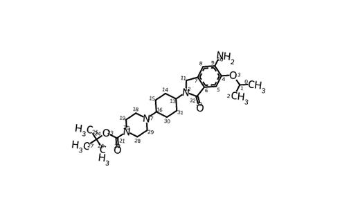 CC(C)Oc1cc2c(cc1N)CN(C1CCC(N3CCN(C(=O)OC(C)(C)C)CC3)CC1)C2=O